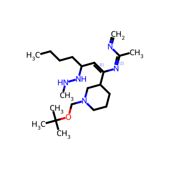 C=N/C(C)=N\C(=C\C(CCCC)NNC)C1CCCN(COC(C)(C)C)C1